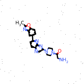 Cc1nc2cc(-c3ccc4ncc(N5CCN(C(=O)CN)CC5)nc4n3)ccc2o1